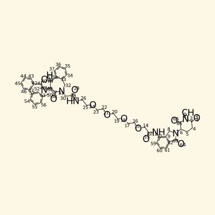 CN1C(=O)CCC(N2Cc3c(NC(=O)COCCOCCOCCOCCNC(=O)CN4Cc5ccccc5[C@@H]5OC(c6ccccc6)=N[C@]5(Cc5ccccc5)C4=O)cccc3C2=O)C1=O